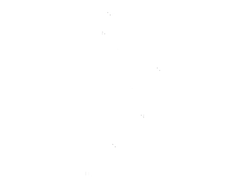 CCCNCc1ccc(-c2cc3nccc(Oc4ccc(N)nc4)c3s2)nc1